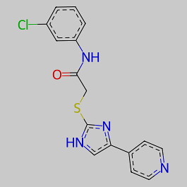 O=C(CSc1nc(-c2ccncc2)c[nH]1)Nc1cccc(Cl)c1